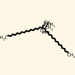 CCCCCCCCCCCCCCCCC(CCCCCCCCCCCCCCCC)(C[N+](C)(C)C)O[PH-]